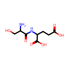 NC(CO)C(=O)NC(CCC(=O)O)C(=O)O